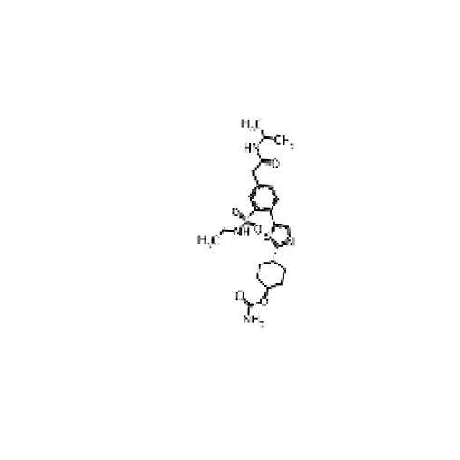 CCNS(=O)(=O)c1cc(CC(=O)NC(C)C)ccc1-c1cnc([C@H]2CC[C@H](OC(N)=O)CC2)s1